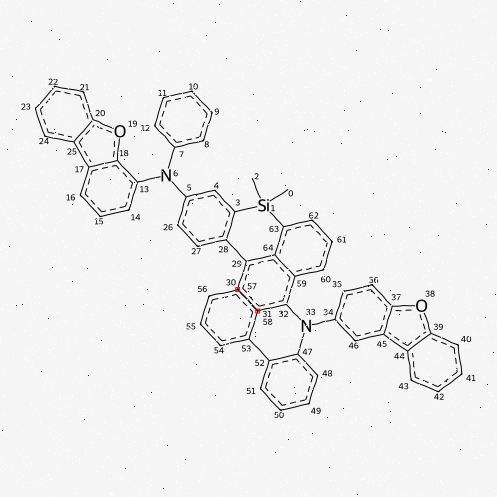 C[Si]1(C)c2cc(N(c3ccccc3)c3cccc4c3oc3ccccc34)ccc2-c2ccc(N(c3ccc4oc5ccccc5c4c3)c3ccccc3-c3ccccc3)c3cccc1c23